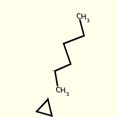 C[CH]CCCC.[CH]1CC1